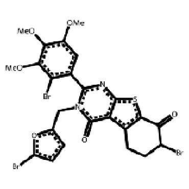 COc1cc(-c2nc3sc4c(c3c(=O)n2Cc2ccc(Br)o2)CCC(Br)C4=O)c(Br)c(OC)c1OC